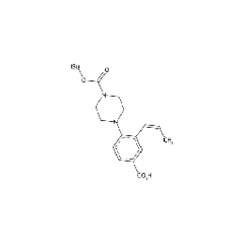 C/C=C\c1cc(C(=O)O)ccc1N1CCN(C(=O)OC(C)(C)C)CC1